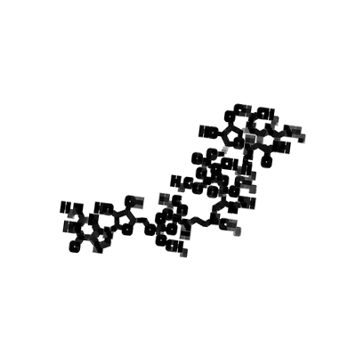 C=CN(c1nc(N)[nH]c(=O)c1NC)[C@@H]1O[C@H](COP(=O)(OC)OP(=O)(OC)OP(=O)(OC)/C(=C/N(C)CCNP(=O)(OC)OP(=O)(OC)OC[C@H]2O[C@@H](n3cnc4c(=O)[nH]c(N)nc43)C(O)C2O)N=N)C(O)C1OC